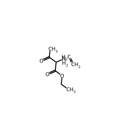 C=C.CCOC(=O)C(N)C(C)=O